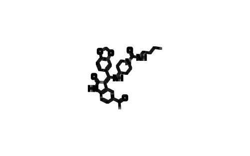 CCCCNC(=O)N1CCC(NC(=C2C(=O)Nc3ccc(C(C)=O)cc32)c2ccc3c(c2)OCO3)CC1